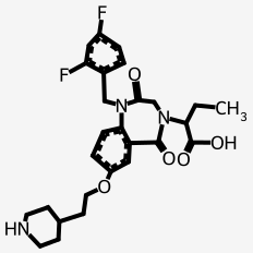 CCC(C(=O)O)N1CC(=O)N(Cc2ccc(F)cc2F)c2ccc(OCCC3CCNCC3)cc2C1=O